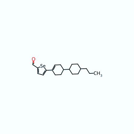 CCCC1CCC(C2CC=C(c3ccc(C=O)[se]3)CC2)CC1